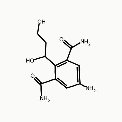 NC(=O)c1cc(N)cc(C(N)=O)c1C(O)CCO